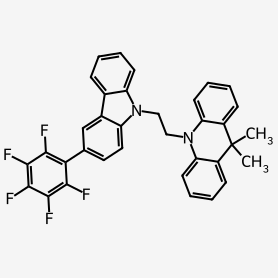 CC1(C)c2ccccc2N(CCn2c3ccccc3c3cc(-c4c(F)c(F)c(F)c(F)c4F)ccc32)c2ccccc21